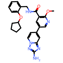 COc1ncc(-c2ccn3nc(N)nc3c2)cc1C(=O)NCc1ccccc1OC1CCCC1